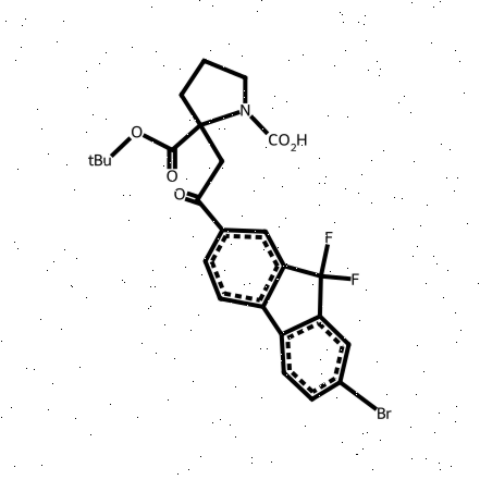 CC(C)(C)OC(=O)C1(CC(=O)c2ccc3c(c2)C(F)(F)c2cc(Br)ccc2-3)CCCN1C(=O)O